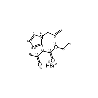 Br.C=CCn1ccnc1.CCOC(=O)CC(C)=O